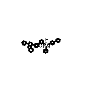 c1ccc(C2=NC(c3ccc(-c4ccccc4)cc3)NC(c3cccc4c3oc3ccc(-c5ccc(-c6ccccc6)c6sc7ccccc7c56)cc34)=N2)cc1